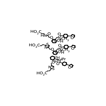 [2H]C(C)(C)N(Cc1ccccc1OCC(=O)NCCC(=O)O)C(=O)c1ccc(-c2ccco2)cc1.[2H]C(C)(C)N(Cc1ccccc1OCc1csc(CCC(=O)O)n1)C(=O)c1ccc(-c2ccco2)cc1.[2H]C([2H])(c1ccccc1OCc1csc(CCC(=O)O)n1)N(C(=O)c1ccc(-c2ccco2)cc1)C(C)C